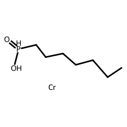 CCCCCCC[PH](=O)O.[Cr]